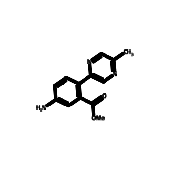 COC(=O)c1cc(N)ccc1-c1cnc(C)cn1